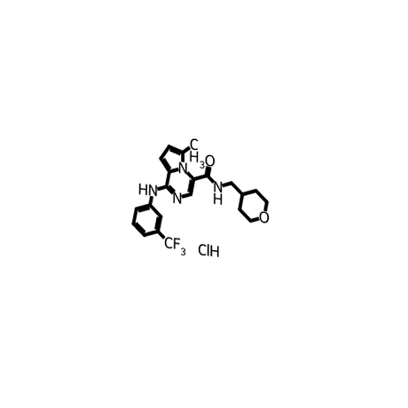 Cc1ccc2c(Nc3cccc(C(F)(F)F)c3)ncc(C(=O)NCC3CCOCC3)n12.Cl